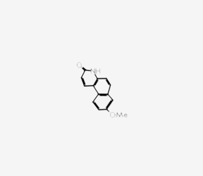 COc1ccc2c(ccc3[nH]c(=O)ccc32)c1